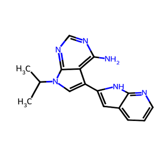 CC(C)n1cc(-c2cc3cccnc3[nH]2)c2c(N)ncnc21